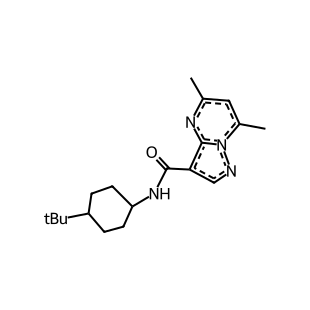 Cc1cc(C)n2ncc(C(=O)NC3CCC(C(C)(C)C)CC3)c2n1